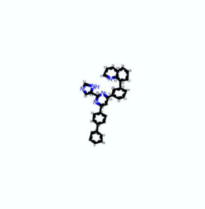 c1ccc(-c2ccc(-c3cc(-c4cccc(-c5cccc6cccnc56)c4)nc(-c4cnc[nH]4)n3)cc2)cc1